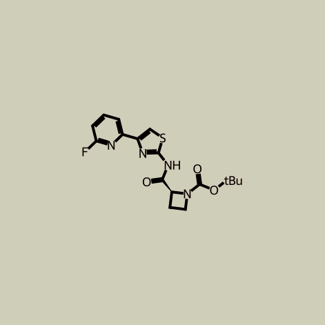 CC(C)(C)OC(=O)N1CC[C@H]1C(=O)Nc1nc(-c2cccc(F)n2)cs1